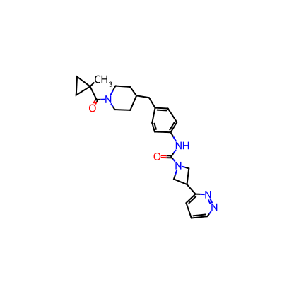 CC1(C(=O)N2CCC(Cc3ccc(NC(=O)N4CC(c5cccnn5)C4)cc3)CC2)CC1